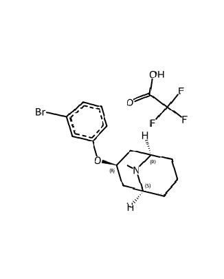 CN1[C@@H]2CCC[C@H]1C[C@@H](Oc1cccc(Br)c1)C2.O=C(O)C(F)(F)F